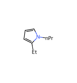 CCCn1cccc1CC